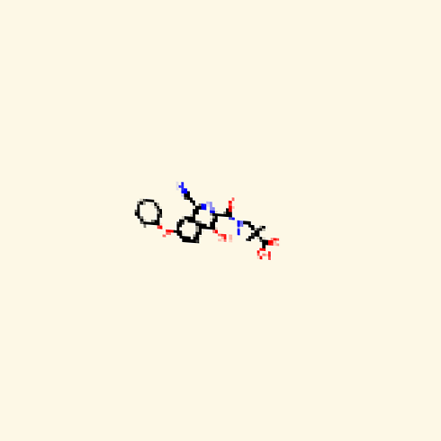 CC(C)(CNC(=O)c1nc(C#N)c2cc(OC3CCCCC3)ccc2c1O)C(=O)O